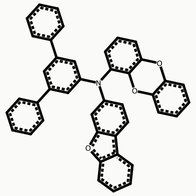 c1ccc(-c2cc(-c3ccccc3)cc(N(c3ccc4c(c3)oc3ccccc34)c3cccc4c3Oc3ccccc3O4)c2)cc1